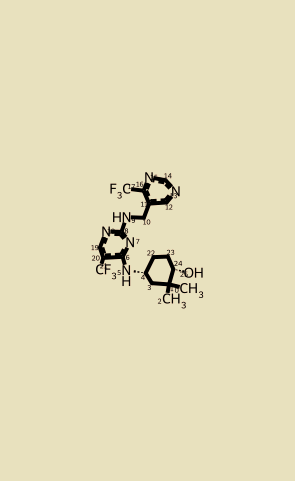 CC1(C)C[C@H](Nc2nc(NCc3cncnc3C(F)(F)F)ncc2C(F)(F)F)CC[C@@H]1O